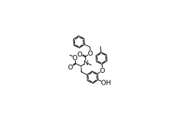 COC(=O)[C@H](Cc1ccc(O)c(Oc2ccc(C)cc2)c1)N(C)C(=O)OCc1ccccc1